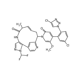 COc1cn(C2C/C=C/C(C)C(=O)Nc3cnn(C(F)F)c3-c3ccnc2c3)c(=O)cc1-c1cc(Cl)ccc1-n1cc(Cl)nn1